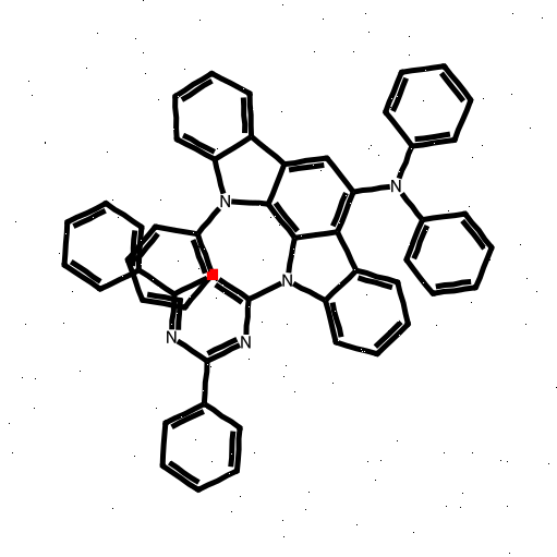 c1ccc(-c2nc(-c3ccccc3)nc(-n3c4ccccc4c4c(N(c5ccccc5)c5ccccc5)cc5c6ccccc6n(-c6ccccc6)c5c43)n2)cc1